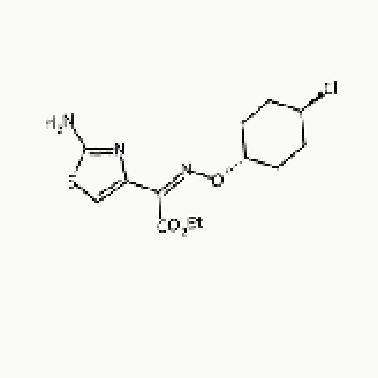 CCOC(=O)/C(=N\O[C@H]1CC[C@H](Cl)CC1)c1csc(N)n1